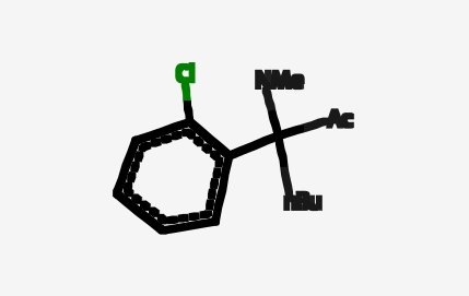 CCCCC(NC)(C(C)=O)c1ccccc1Cl